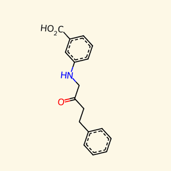 O=C(CCc1ccccc1)CNc1cccc(C(=O)O)c1